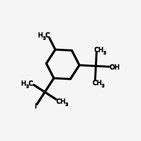 CC1CC(C(C)(C)O)CC(C(C)(C)I)C1